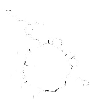 COC1CC(CC(C)C2CC(=O)C(C)/C=C(\C)C(O)C(OC)C(=O)C(C)CC(C)/C=C/C=C/C=C(\C)C(OCC3CCO3)CC3CCC(C)C(O)(O3)C(=O)C(=O)N3CCCCC3C(=O)O2)CCC1OCCCC(=O)O